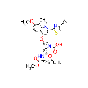 C=C[C@@H]1C[C@]1(NC(=O)[C@@H]1C[C@@H](Oc2cc(-c3nc(C4CC4)cs3)nc3c(C)c(OC)ccc23)CN1C(=O)O)C(=O)OC